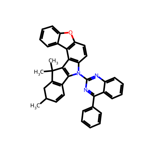 CC1C=CC2=C(C1)C(C)(C)c1c2n(-c2nc(-c3ccccc3)c3ccccc3n2)c2ccc3oc4ccccc4c3c12